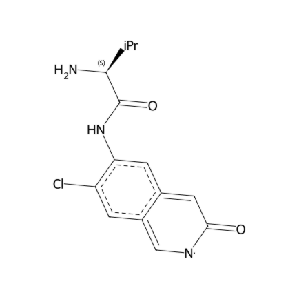 CC(C)[C@H](N)C(=O)Nc1cc2c(cc1Cl)=C[N]C(=O)C=2